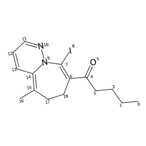 CCCCC(=O)C1=C(I)N2N=CC=CC2=C(C)CC1